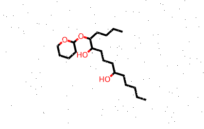 CCCCCC(O)CCCC(O)C(CCCC)OC1CCCCO1